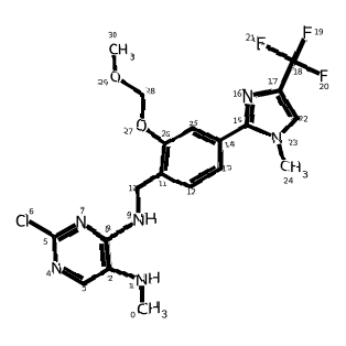 CNc1cnc(Cl)nc1NCc1ccc(-c2nc(C(F)(F)F)cn2C)cc1OCOC